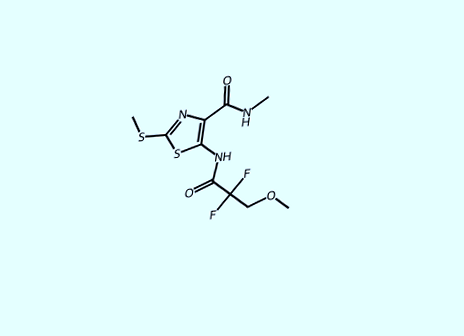 CNC(=O)c1nc(SC)sc1NC(=O)C(F)(F)COC